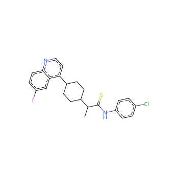 CC(C(=S)Nc1ccc(Cl)cc1)C1CCC(c2ccnc3ccc(I)cc23)CC1